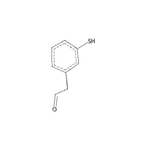 O=CCc1cccc(S)c1